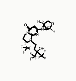 O=c1cc(N2C[C@@H]3C[C@H]2CO3)nc2n1CC[C@@H](C(F)(F)F)N2CCC(O)(C(F)(F)F)C(F)(F)F